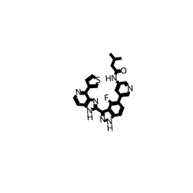 CC(C)CC(=O)Nc1cncc(-c2ccc3[nH]nc(-c4nc5c(-c6ccsc6)nccc5[nH]4)c3c2F)c1